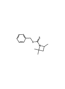 CC1CC(C)(C)N1C(=S)SCc1ccccc1